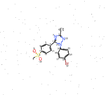 [CH2]Cc1nc(-c2ccc(S(C)(=O)=O)cc2)n(-c2ccc(Br)cc2)n1